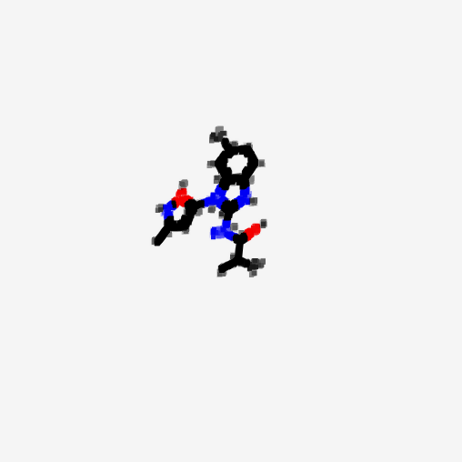 Cc1cc(-n2c(NC(=O)C(C)C(C)(C)C)nc3ccc(C#N)cc32)on1